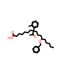 CCCCCC(CCCC(CCCCCCC(=O)O)(C(C)=O)c1ccccc1C)OCc1ccccc1